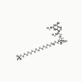 Nc1nc(Br)c2ncn(C(N)COCP(=O)(O)OCCOCCCCCCCCCCCCCCCCCC(F)(F)F)c2n1